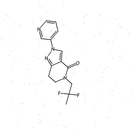 CC(F)(F)CN1CCc2nn(-c3cccnc3)cc2C1=O